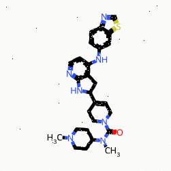 CN1CCC(N(C)C(=O)N2CC=C(C3Cc4c(Nc5ccc6ncsc6c5)ccnc4N3)CC2)CC1